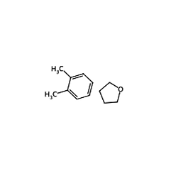 C1CCOC1.Cc1ccccc1C